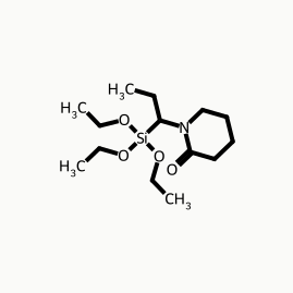 CCO[Si](OCC)(OCC)C(CC)N1CCCCC1=O